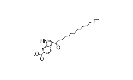 CCCCCCCCCCCCCCC(=O)c1c[nH]c2cc(C(=O)OC)ccc12